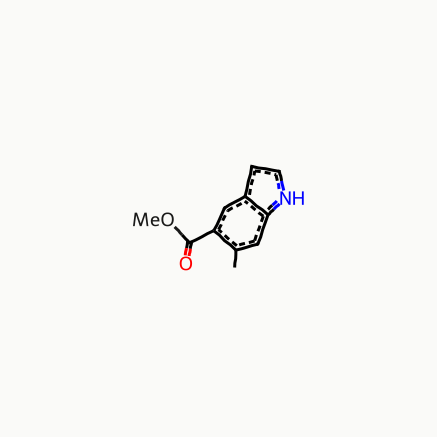 COC(=O)c1cc2cc[nH]c2cc1C